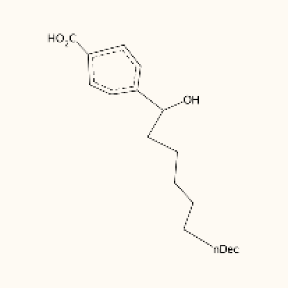 CCCCCCCCCCCCCCCC(O)c1ccc(C(=O)O)cc1